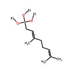 CCO[Si](C/C=C(\C)CCC=C(C)C)(OCC)OCC